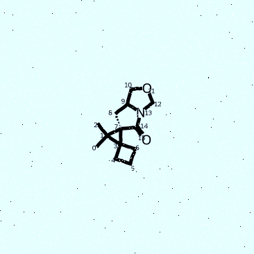 CC1(C)C2(CCC2)[C@@]12CC1COCN1C2=O